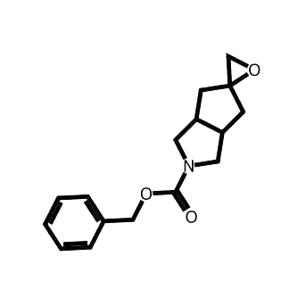 O=C(OCc1ccccc1)N1CC2CC3(CO3)CC2C1